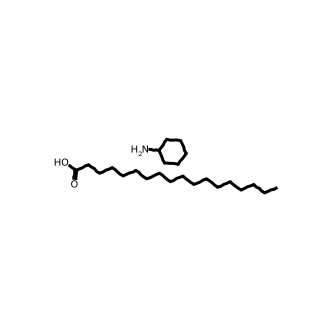 CCCCCCCCCCCCCCCCCC(=O)O.NC1CCCCC1